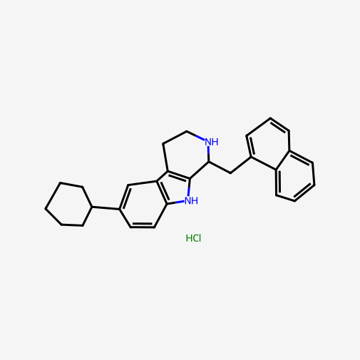 Cl.c1ccc2c(CC3NCCc4c3[nH]c3ccc(C5CCCCC5)cc43)cccc2c1